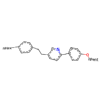 CCCCCCc1ccc(CCc2ccc(-c3ccc(OCCCCC)cc3)nc2)cc1